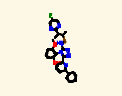 COc1cccc(O)c1-n1c(NSC(C)C(C)c2ncc(F)cn2)nnc1C1=C=C=CC(c2ccccc2)=N1